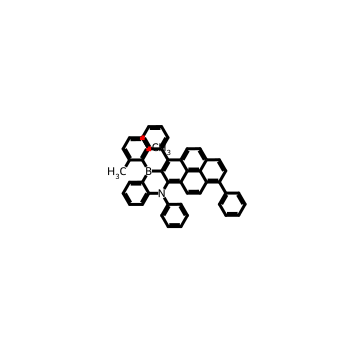 Cc1cccc(C)c1B1c2ccccc2N(c2ccccc2)c2c1c(-c1ccccc1)c1ccc3ccc(-c4ccccc4)c4ccc2c1c34